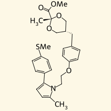 COC(=O)[C@]1(C)OC[C@H](Cc2ccc(OCCn3c(C)ccc3-c3ccc(SC)cc3)cc2)CO1